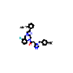 [C-]#[N+]c1ccc(Cn2cncc2CC(=O)N2Cc3nc(-c4ccccc4OC)cn3Cc3c(F)cccc32)cc1